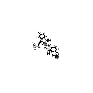 Cc1ccc(NC(=O)C2CNc3cc(OC(F)(F)F)ccc3O2)c(C#CCN(C)C)c1